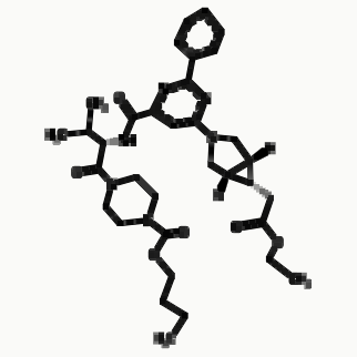 CCCCOC(=O)N1CCN(C(=O)[C@@H](NC(=O)c2cc(N3C[C@@H]4[C@H](CC(=O)OCC)[C@@H]4C3)nc(-c3ccccc3)n2)C(C)C)CC1